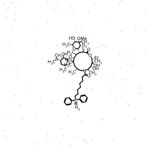 CC[C@H]1OC(=O)[C@H](C)[C@@H](C2C[C@@](C)(OC)[C@@H](O)[C@H](C)O2)[C@H](C)[C@@H](O[C@@H]2O[C@H](C)C[C@H](N(C)C)[C@H]2O)[C@](C)(O)C[C@@H](C)CN(C(=O)CCCCCCC[PH](C)(c2ccccc2)c2ccccc2)[C@H](C)[C@@H](O)[C@]1(C)O